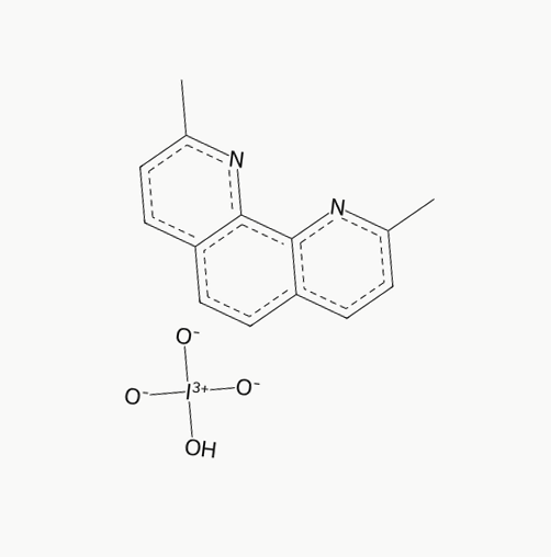 Cc1ccc2ccc3ccc(C)nc3c2n1.[O-][I+3]([O-])([O-])O